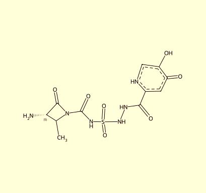 CC1[C@H](N)C(=O)N1C(=O)NS(=O)(=O)NNC(=O)c1cc(=O)c(O)c[nH]1